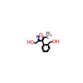 Cc1onc(CO)c1-c1ccccc1CO